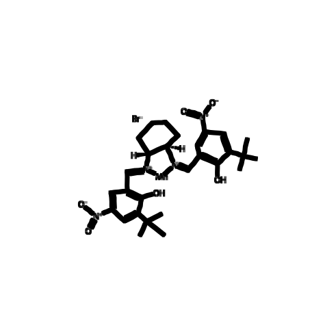 CC(C)(C)c1cc([N+](=O)[O-])cc(C=[N+]2[Mn][N+](=Cc3cc([N+](=O)[O-])cc(C(C)(C)C)c3O)[C@@H]3CCCC[C@H]32)c1O.[Br-]